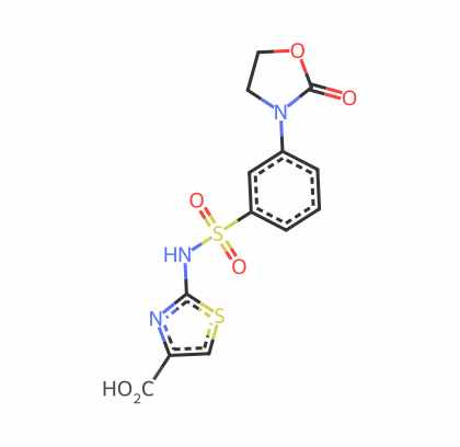 O=C(O)c1csc(NS(=O)(=O)c2cccc(N3CCOC3=O)c2)n1